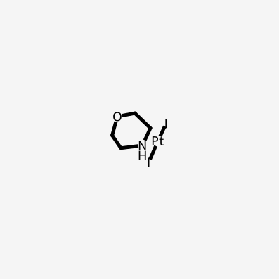 C1COCCN1.[I][Pt][I]